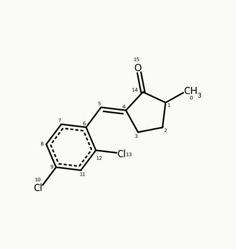 CC1CCC(=Cc2ccc(Cl)cc2Cl)C1=O